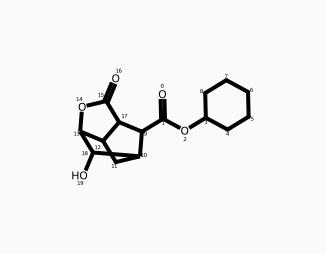 O=C(OC1CCCCC1)C1C2CC3C(OC(=O)C31)C2O